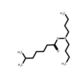 CCCCN(CCCC)OC(=O)CCCCC(C)C